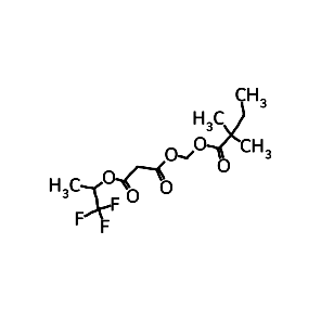 CCC(C)(C)C(=O)OCOC(=O)CC(=O)OC(C)C(F)(F)F